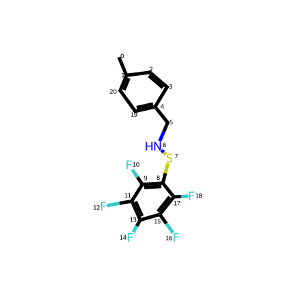 Cc1ccc(CNSc2c(F)c(F)c(F)c(F)c2F)cc1